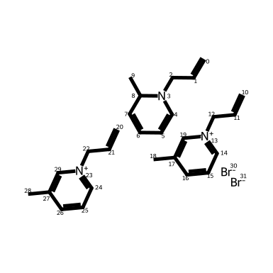 C=CCN1C=CC=CC1C.C=CC[n+]1cccc(C)c1.C=CC[n+]1cccc(C)c1.[Br-].[Br-]